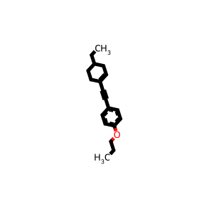 CCCOc1ccc(C#CC2=CCC(CC)CC2)cc1